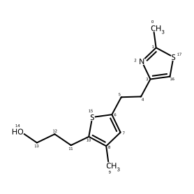 Cc1nc(CCc2cc(C)c(CCCO)s2)cs1